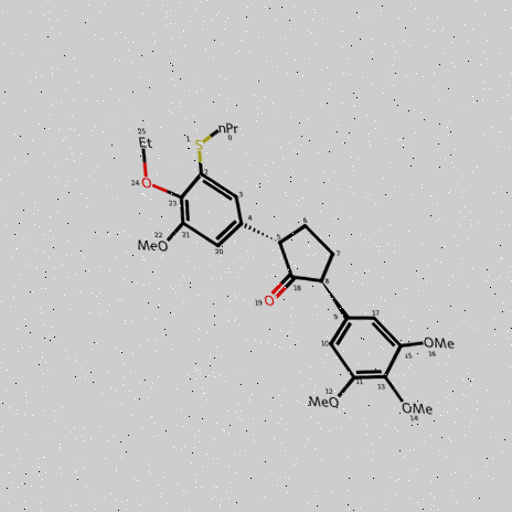 CCCSc1cc([C@@H]2CC[C@@H](c3cc(OC)c(OC)c(OC)c3)C2=O)cc(OC)c1OCC